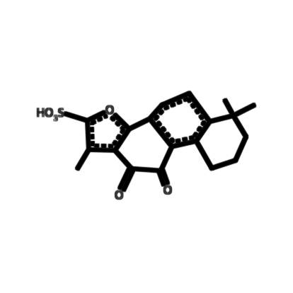 Cc1c(S(=O)(=O)O)oc2c1C(=O)C(=O)c1c-2ccc2c1CCCC2(C)C